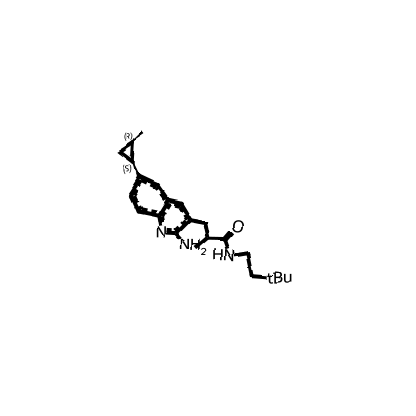 CC(Cc1cc2cc([C@H]3C[C@H]3C)ccc2nc1N)C(=O)NCCC(C)(C)C